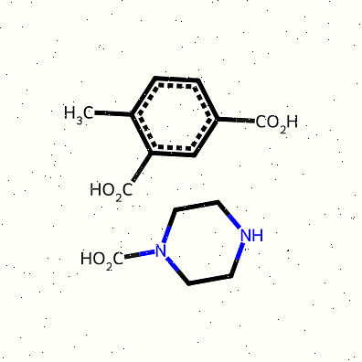 Cc1ccc(C(=O)O)cc1C(=O)O.O=C(O)N1CCNCC1